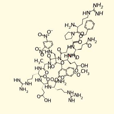 COc1ccc2c(CC(=O)[C@](CNc3ccc([N+](=O)[O-])cc3[N+](=O)[O-])(C(=O)N[C@@H](C)C(=O)N[C@@H](CCCNC(=N)N)C(=O)N[C@@H](CCC(=O)O)C(=O)N[C@@H](CCCNC(=N)N)C(N)=O)N(C(=O)[C@H](CCC(=O)O)NC(=O)[C@H](CCC(N)=O)NC(=O)[C@@H]3CCCN3C(=O)[C@@H](N)CCCNC(=N)N)C(=O)[C@@H](N)CCCCOCc3ccccc3)cc(=O)oc2c1